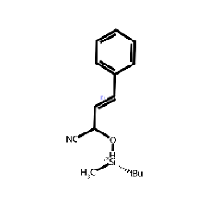 C[Si@H](OC(C#N)/C=C/c1ccccc1)C(C)(C)C